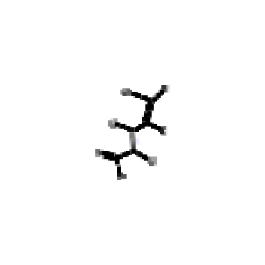 [O]C(=O)/C(Cl)=C(\Cl)C(Cl)=C(Cl)Cl